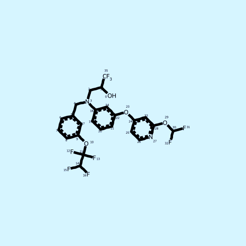 OC(CN(Cc1cccc(OC(F)(F)C(F)F)c1)c1cccc(Oc2ccnc(OC(F)F)c2)c1)C(F)(F)F